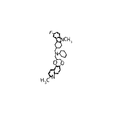 Cc1ccc2c3c(ccc2n1)OCC(CN(CC1CCc2c(c4cc(F)ccc4n2C)C1)C1CCCCC1)O3